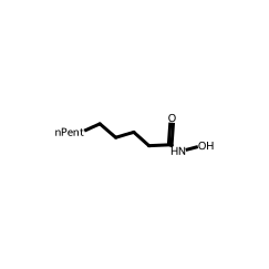 CCCCCCCCCC(=O)NO